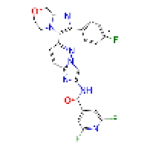 O=C(Nc1cn2nc(-c3c(-c4ccc(F)cc4)nc4n3CCOC4)ccc2n1)c1cc(F)nc(F)c1